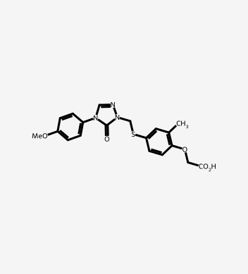 COc1ccc(-n2cnn(CSc3ccc(OCC(=O)O)c(C)c3)c2=O)cc1